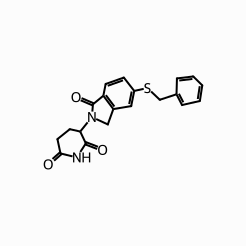 O=C1CCC(N2Cc3cc(SCc4ccccc4)ccc3C2=O)C(=O)N1